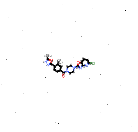 CC(C)(C)c1nnc(-c2ccc(C(=O)N3CCN(c4nc5nc(Cl)ccc5o4)CC3)cc2C(F)(F)F)o1